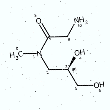 CN(C[C@@H](O)CO)C(=O)CN